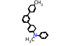 CC1C=CC(c2cccc(C3=CC=C(N(C)c4ccccc4)CC3)c2)=CC1